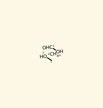 C.CO.O=CO